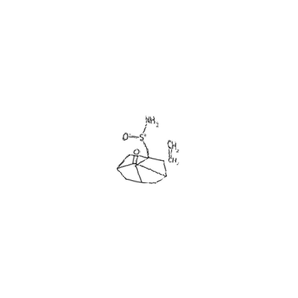 C=C.N[S+]([O-])C12CC3CC(C1)C(=O)C(C3)C2